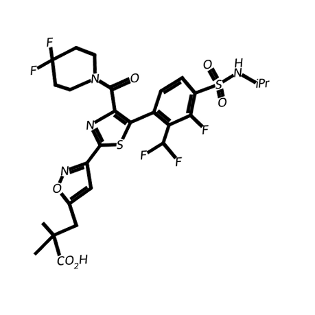 CC(C)NS(=O)(=O)c1ccc(-c2sc(-c3cc(CC(C)(C)C(=O)O)on3)nc2C(=O)N2CCC(F)(F)CC2)c(C(F)F)c1F